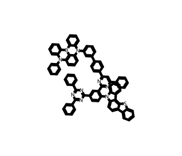 c1ccc(-c2cc(-c3ccc(-c4cccc(N5c6ccccc6B6c7ccccc7N(c7ccccc7)c7cccc5c76)c4)cc3)nc(-c3cc(-c4nc(-c5ccccc5)nc(-c5ccccc5)n4)ccc3-n3c4ccccc4c4c5sc6ccccc6c5ccc43)n2)cc1